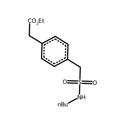 CCCCNS(=O)(=O)Cc1ccc(CC(=O)OCC)cc1